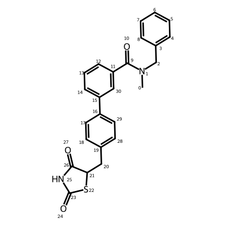 CN(Cc1ccccc1)C(=O)c1cccc(-c2ccc(CC3SC(=O)NC3=O)cc2)c1